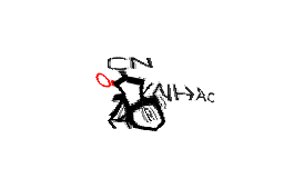 CC(=O)N[C@H]1CCC[C@@H]2C(C)(C)C(=O)C(C#N)=C[C@]12C